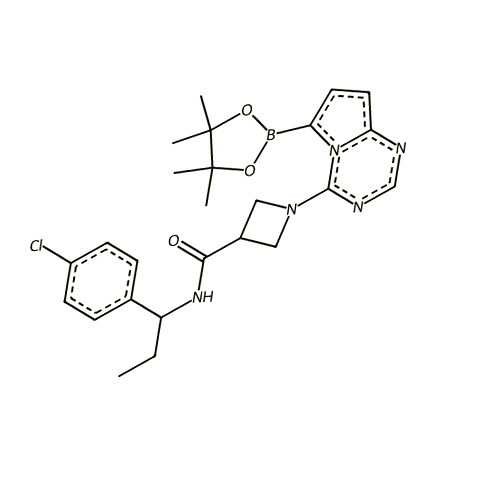 CCC(NC(=O)C1CN(c2ncnc3ccc(B4OC(C)(C)C(C)(C)O4)n23)C1)c1ccc(Cl)cc1